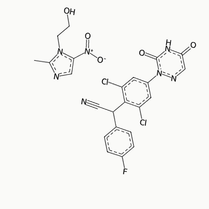 Cc1ncc([N+](=O)[O-])n1CCO.N#CC(c1ccc(F)cc1)c1c(Cl)cc(-n2ncc(=O)[nH]c2=O)cc1Cl